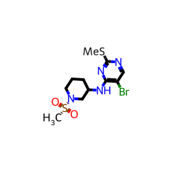 CSc1ncc(Br)c(NC2CCCN(S(C)(=O)=O)C2)n1